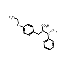 C[C@H](c1ncccn1)N(Cc1ccc(OCC(F)(F)F)nn1)C(=O)O